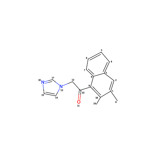 Cc1cc2ccccc2c(C(=O)Cn2ccnc2)c1C